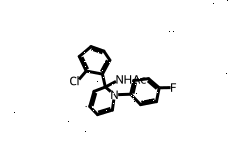 CC(=O)NC1(c2ccccc2Cl)C=[C]C=CN1c1ccc(F)cc1